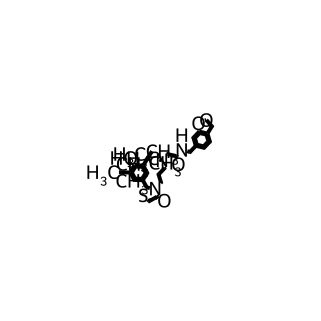 CN(CCCN1C(=O)CSC1c1cc(C(C)(C)C)c(O)c(C(C)(C)C)c1)CC(=O)NCc1ccc2c(c1)OOC2